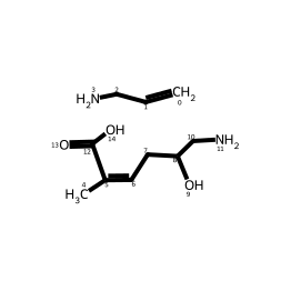 C=CCN.CC(=CCC(O)CN)C(=O)O